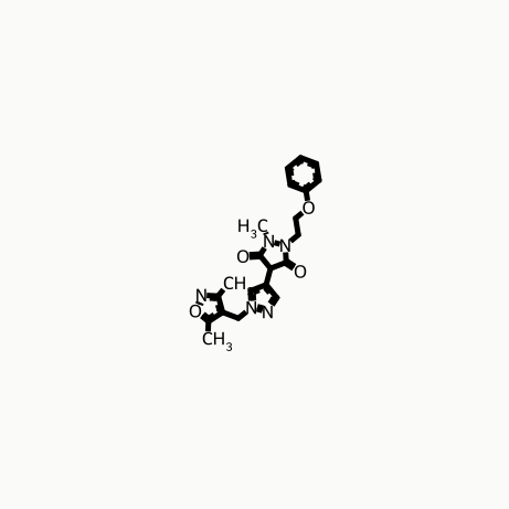 Cc1noc(C)c1Cn1cc(C2C(=O)N(C)N(CCOc3ccccc3)C2=O)cn1